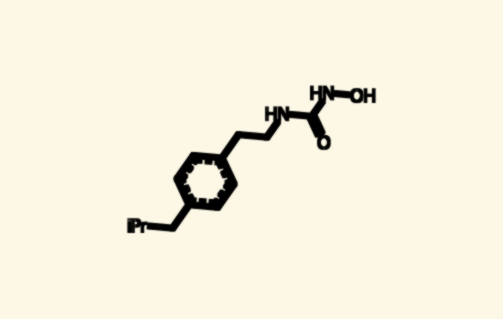 CC(C)Cc1ccc(CCNC(=O)NO)cc1